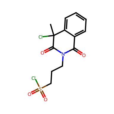 CC1(Cl)C(=O)N(CCCS(=O)(=O)Cl)C(=O)c2ccccc21